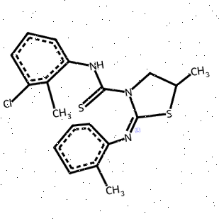 Cc1ccccc1/N=C1/SC(C)CN1C(=S)Nc1cccc(Cl)c1C